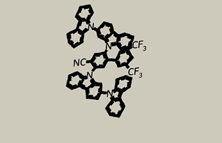 N#Cc1cc(-n2c3ccccc3c3ccc(-n4c5ccccc5c5ccccc54)cc32)c(-c2cc(C(F)(F)F)cc(C(F)(F)F)c2)cc1-n1c2ccccc2c2ccc(-n3c4ccccc4c4ccccc43)cc21